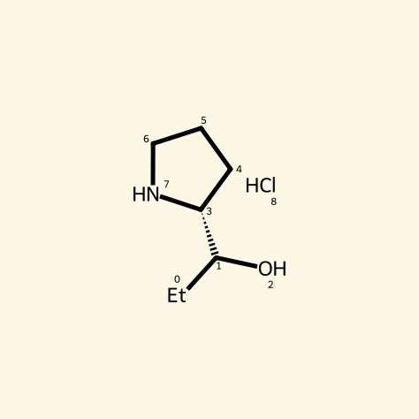 CCC(O)[C@H]1CCCN1.Cl